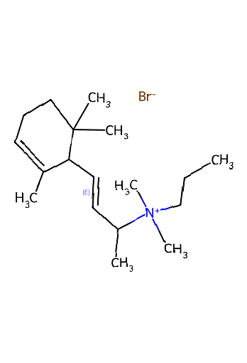 CCC[N+](C)(C)C(C)/C=C/C1C(C)=CCCC1(C)C.[Br-]